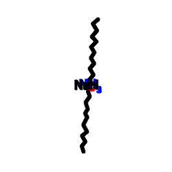 CCCCCCCCCCCCOCCCCCCCCCCCC.N.[NaH]